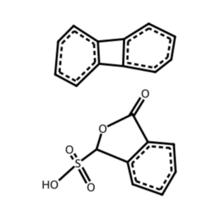 O=C1OC(S(=O)(=O)O)c2ccccc21.c1ccc2c(c1)-c1ccccc1-2